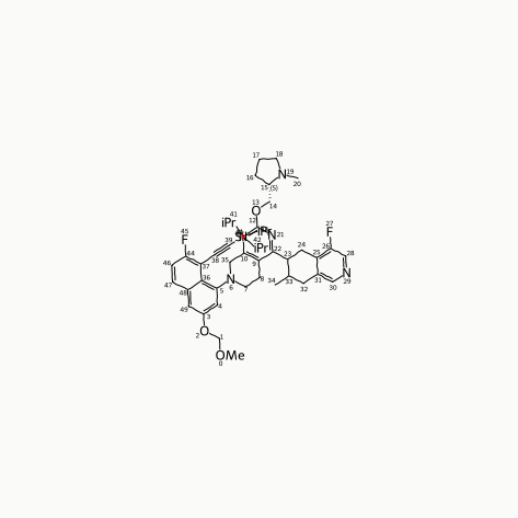 COCOc1cc(N2CCc3c(nc(OC[C@@H]4CCCN4C)nc3C3Cc4c(F)cncc4CC3C)C2)c2c(C#C[Si](C(C)C)(C(C)C)C(C)C)c(F)ccc2c1